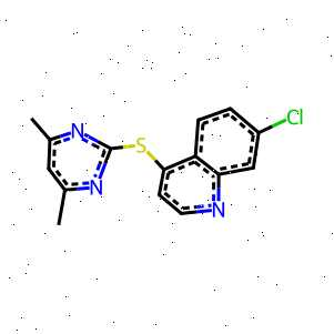 Cc1cc(C)nc(Sc2ccnc3cc(Cl)ccc23)n1